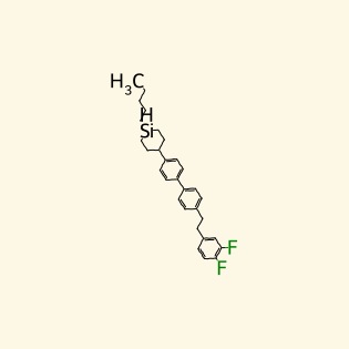 CCCCC[SiH]1CCC(c2ccc(-c3ccc(CCc4ccc(F)c(F)c4)cc3)cc2)CC1